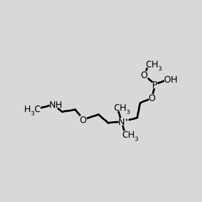 CNCCOCC[N+](C)(C)CCOP(O)OC